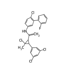 C=C(Nc1ccc(Cl)c(-c2ccccc2F)c1)C1C(c2cc(Cl)cc(Cl)c2)C1(C)Cl